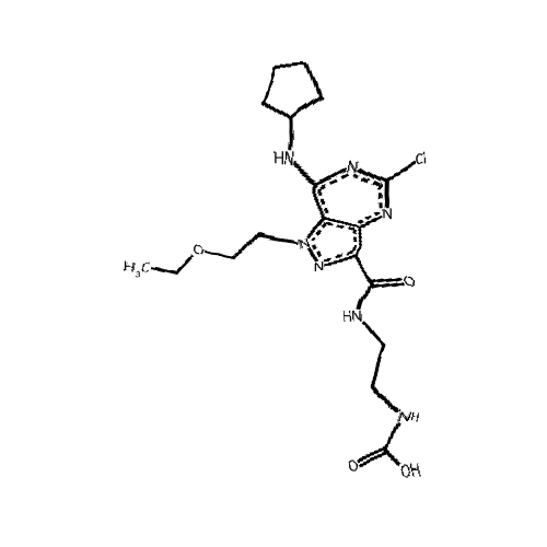 CCOCCn1nc(C(=O)NCCNC(=O)O)c2nc(Cl)nc(NC3CCCC3)c21